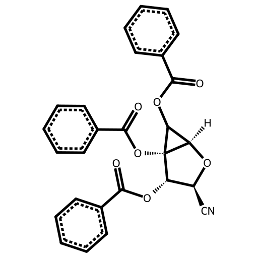 N#C[C@@H]1O[C@@H]2C(OC(=O)c3ccccc3)[C@]2(OC(=O)c2ccccc2)[C@H]1OC(=O)c1ccccc1